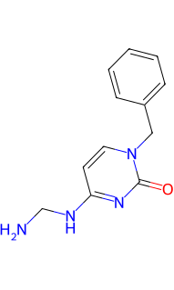 NCNc1ccn(Cc2ccccc2)c(=O)n1